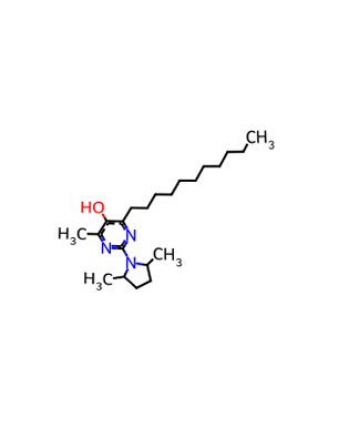 CCCCCCCCCCCc1nc(N2C(C)CCC2C)nc(C)c1O